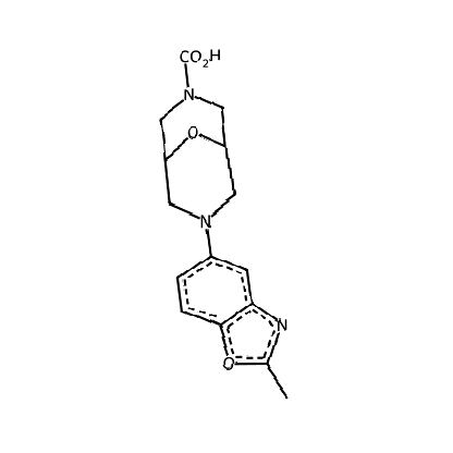 Cc1nc2cc(N3CC4CN(C(=O)O)CC(C3)O4)ccc2o1